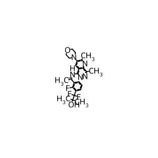 Cc1nc2c(C)nnc(N[C@H](C)c3cccc(C(F)(F)C(C)(C)O)c3F)c2cc1N1CCOCC1